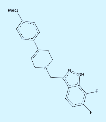 COc1ccc(C2=CCN(Cc3n[nH]c4c(F)c(F)ccc34)CC2)cc1